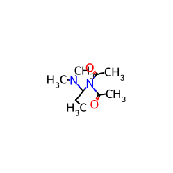 CCC(N(C)C)N(C(C)=O)C(C)=O